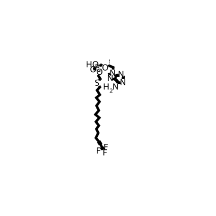 C[C@H](Cn1cnc2c(N)ncnc21)OCP(=O)(O)OCCSCCCCCCCCCCCCCCC#CC(F)(F)F